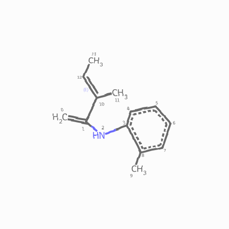 C=C(Nc1ccccc1C)/C(C)=C/C